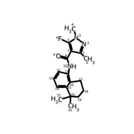 Cc1nn(C)c(F)c1C(=O)Nc1cccc2c1CCCC2(C)C